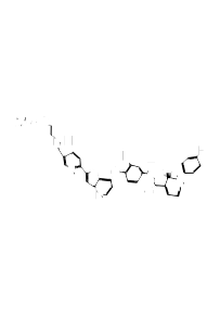 COCCNCc1ccc(-c2cc3nccc(Oc4ccc(NC(=O)c5cccn(-c6ccc(F)cc6)c5=O)cc4F)c3s2)nc1